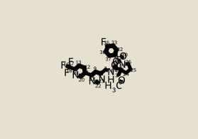 COCC1(C(=O)NCc2cc(-c3ccc(C(F)(F)F)nc3)ncn2)CCCN1S(=O)(=O)c1ccc(F)cc1